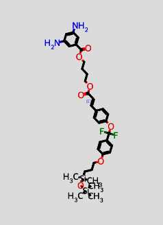 C[Si](C)(C)O[Si](C)(C)CCCOc1ccc(C(F)(F)Oc2ccc(/C=C/C(=O)OCCCCOC(=O)c3cc(N)cc(N)c3)cc2)cc1